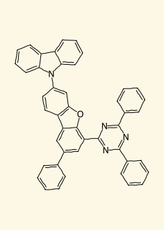 c1ccc(-c2cc(-c3nc(-c4ccccc4)nc(-c4ccccc4)n3)c3oc4cc(-n5c6ccccc6c6ccccc65)ccc4c3c2)cc1